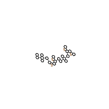 c1cc(-c2ccc3sc4ccc5cc(-c6cccc7c(-c8c9ccccc9c(-c9cccc(-c%10cc%11sc%12ccccc%12c%11c%11ccc%12c%13ccccc%13sc%12c%10%11)c9)c9ccccc89)cccc67)c6c7ccccc7sc6c5c4c3c2)cc(-c2c3ccccc3c(-c3cccc4ccccc34)c3ccccc23)c1